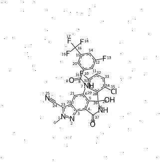 Cn1nc2c3c(c(NC(=O)c4cc(F)cc(C(F)(F)F)c4)cc2c1C#N)C(O)(c1cc(F)ccc1Cl)NC3=O